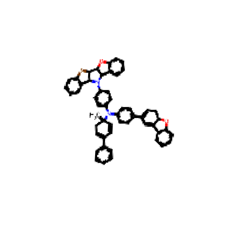 CC1(N(c2ccc(C3=CCC4Oc5ccccc5C4=C3)cc2)c2ccc(N3C4c5ccccc5OC4C4Sc5ccccc5C43)cc2)C=CC(c2ccccc2)=CC1